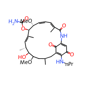 CCCNC1=C2CC(C)CC(OC)[C@@H](O)[C@H](C)/C=C(\C)[C@@H](OC(N)=O)[C@H](OC)/C=C\C=C(/C)C(=O)NC(=CC1=O)C2=O